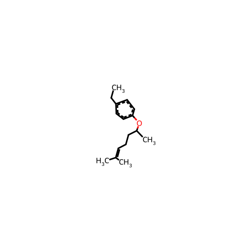 CCc1ccc(OC(C)CCC=C(C)C)cc1